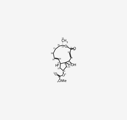 COC(=O)O[C@@H]1C[C@H]2[C@H](O)/C=C/C(=O)O[C@@H](C)CCC/C=C/[C@@H]2C1